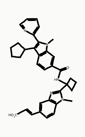 Cn1c(C2(NC(=O)c3ccc4c(C5CCCC5)c(-c5ccccn5)n(C)c4c3)CCC2)nc2cc(C=CC(=O)O)ccc21